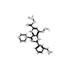 COC(=O)c1cc(SC)c2nc(-c3cccc(CO)c3)nc(N3CCOCC3)c2n1